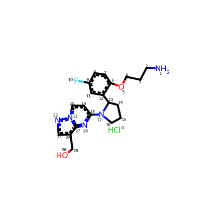 Cl.NCCCOc1ccc(F)cc1C1CCCN1c1ccn2ncc(CO)c2n1